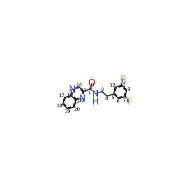 O=C(NCCc1cc(F)cc(F)c1)c1cnc2ccccc2n1